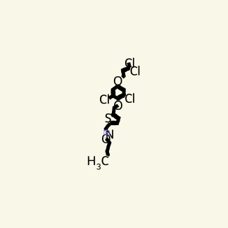 CCCCO/N=C/c1ccc(COc2c(Cl)cc(OCC=C(Cl)Cl)cc2Cl)s1